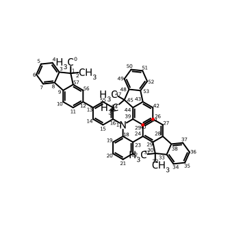 CC1(C)c2ccccc2-c2ccc(-c3ccc(N(c4ccccc4-c4cccc5c4C(C)(C)c4ccccc4-5)c4cccc5c4C(C)(C)c4ccccc4-5)cc3)cc21